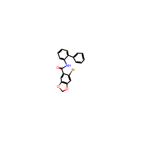 O=C(Nc1ccccc1-c1ccccc1)c1cc2c(cc1Br)OCO2